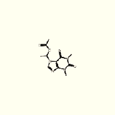 CC(=O)OC(C)n1cnc2c1c(=O)n(C)c(=O)n2C